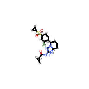 O=C(Nc1nc2cccc(-c3ccc(S(=O)(=O)C4CC4)cc3Cl)n2n1)C1CC1